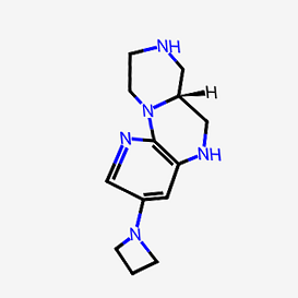 c1nc2c(cc1N1CCC1)NC[C@H]1CNCCN21